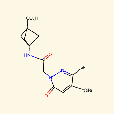 CC(C)COc1cc(=O)n(CC(=O)NC23CC(C(=O)O)(C2)C3)nc1C(C)C